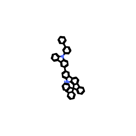 CC1C=CC=CC1C1(c2ccccc2)c2ccccc2-c2ccc3c([nH]c4ccc(-c5ccc6c(c5)c5ccccc5n6-c5cccc(-c6ccccc6)c5)cc43)c21